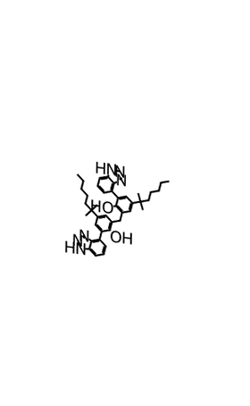 CCCCCC(C)(C)c1cc(Cc2cc(C(C)(C)CCCCC)cc(-c3cccc4[nH]nnc34)c2O)c(O)c(-c2cccc3[nH]nnc23)c1